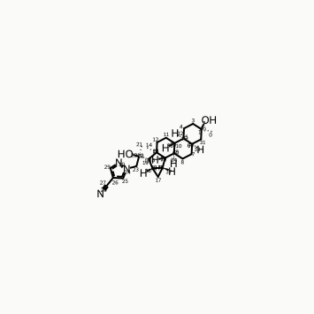 C[C@@]1(O)CC[C@H]2[C@H](CC[C@@H]3[C@@H]2CC[C@@]2(C)[C@H]3[C@@H]3C[C@@H]3[C@@H]2[C@](C)(O)Cn2cc(C#N)cn2)C1